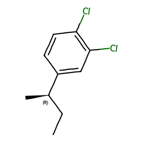 CC[C@@H](C)c1ccc(Cl)c(Cl)c1